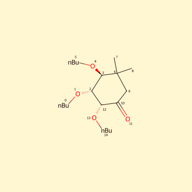 CCCCO[C@@H]1[C@@H](OCCCC)C(C)(C)CC(=O)[C@@H]1OCCCC